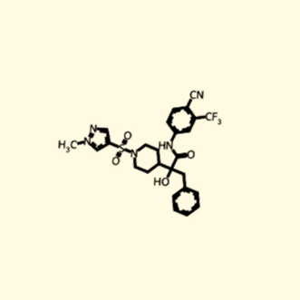 Cn1cc(S(=O)(=O)N2CCC(C(O)(Cc3ccccc3)C(=O)Nc3ccc(C#N)c(C(F)(F)F)c3)CC2)cn1